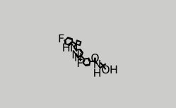 CC(C)(O)CNC(=O)c1ccc(F)c(-c2ccc(NC3(c4ccc(F)cc4)CCC3)nn2)c1